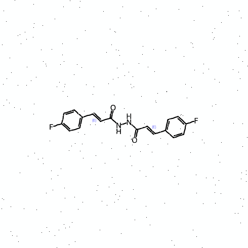 O=C(/C=C/c1ccc(F)cc1)NNC(=O)/C=C/c1ccc(F)cc1